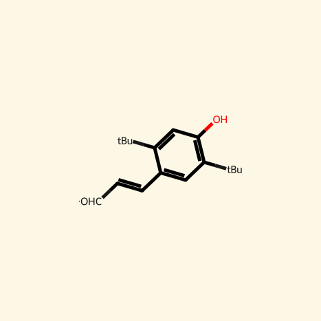 CC(C)(C)c1cc(C=C[C]=O)c(C(C)(C)C)cc1O